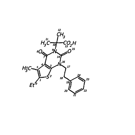 CCc1sc2c(c1C)c(=O)n(C(C)(C)C(=O)O)c(=O)n2CCc1ccccc1